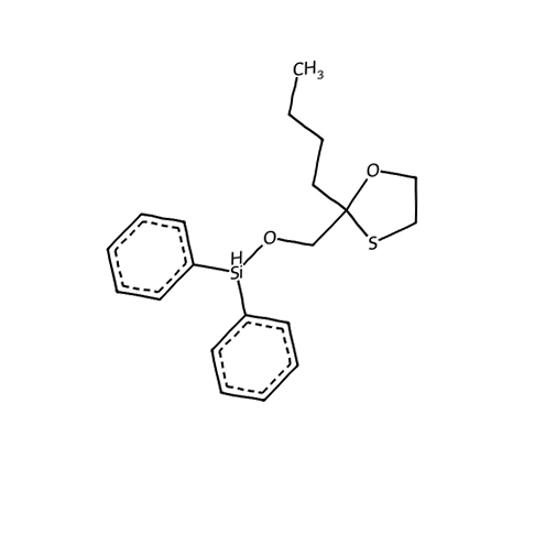 CCCCC1(CO[SiH](c2ccccc2)c2ccccc2)OCCS1